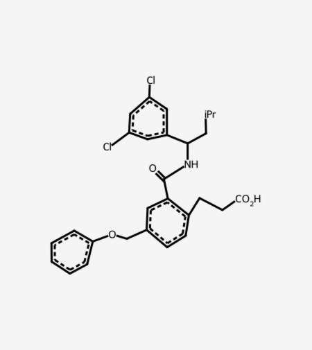 CC(C)CC(NC(=O)c1cc(COc2ccccc2)ccc1CCC(=O)O)c1cc(Cl)cc(Cl)c1